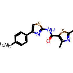 CC(=O)Nc1ccc(-c2csc(NC(=O)c3sc(C)nc3C)n2)cc1